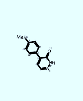 CSc1ccc(-c2ccn[nH]c2=O)cc1